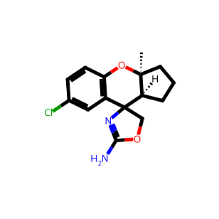 C[C@]12CCC[C@H]1C1(COC(N)=N1)c1cc(Cl)ccc1O2